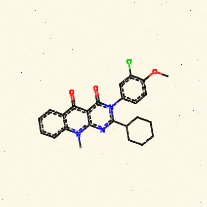 COc1ccc(-n2c(C3CCCCC3)nc3c(c(=O)c4ccccc4n3C)c2=O)cc1Cl